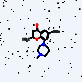 COc1cc(N2CCCN(C)CC2)c2oc(C(=O)O)cc(=O)c2c1